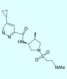 CNCCS(=O)(=O)N1C[C@H](C)[C@H](NC(=O)c2cc(C3CC3)cnn2)C1